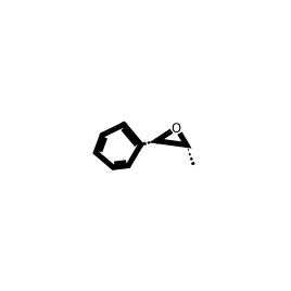 C[C@H]1O[C@H]1c1ccccc1